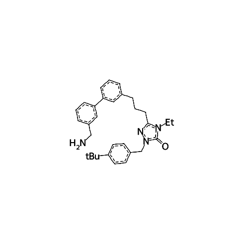 CCn1c(CCCc2cccc(-c3cccc(CN)c3)c2)nn(Cc2ccc(C(C)(C)C)cc2)c1=O